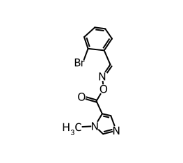 Cn1cncc1C(=O)ON=Cc1ccccc1Br